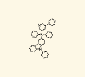 c1ccc(-c2cncc([Si](c3ccccc3)(c3ccccc3)c3ccc4c(c3)c3ccccc3n4-c3ccccc3)c2)cc1